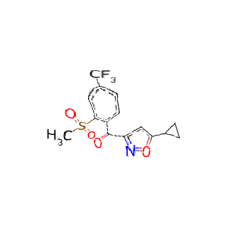 CS(=O)(=O)c1cc(C(F)(F)F)ccc1C(=O)c1cc(C2CC2)on1